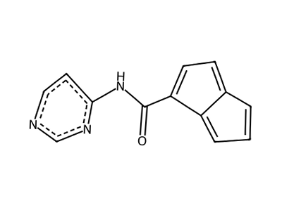 O=C(Nc1ccncn1)C1=CC=C2C=CC=C21